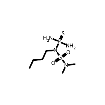 CCCCN(P(N)(N)=S)S(=O)(=O)N(C)C